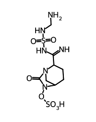 N=C(NS(=O)(=O)NCN)C1CCC2CN1C(=O)N2OS(=O)(=O)O